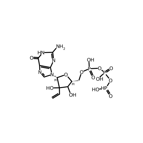 C=CC1(O)C(O)[C@@H](COP(=O)(O)OP(=O)(O)O[PH](=O)O)O[C@H]1n1cnc2c(=O)[nH]c(N)nc21